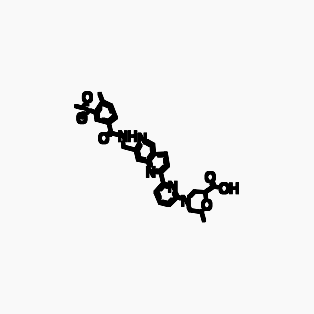 Cc1ccc(C(=O)NCc2cc3nc(-c4cccc(N5CC(C)OC(C(=O)O)C5)n4)ccc3cn2)cc1S(C)(=O)=O